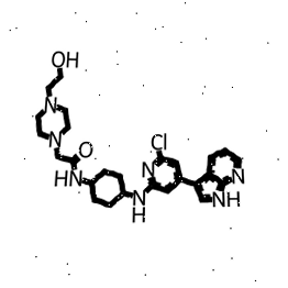 O=C(CN1CCN(CCO)CC1)NC1CCC(Nc2cc(-c3c[nH]c4ncccc34)cc(Cl)n2)CC1